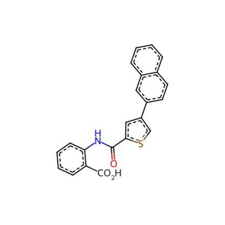 O=C(Nc1ccccc1C(=O)O)c1cc(-c2ccc3ccccc3c2)cs1